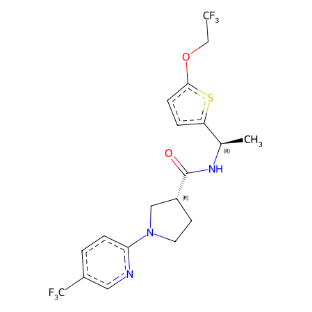 C[C@@H](NC(=O)[C@@H]1CCN(c2ccc(C(F)(F)F)cn2)C1)c1ccc(OCC(F)(F)F)s1